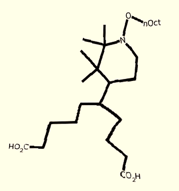 CCCCCCCCON1CCC(C(CCCCC(=O)O)CCCC(=O)O)C(C)(C)C1(C)C